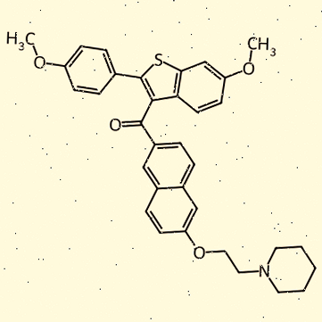 COc1ccc(-c2sc3cc(OC)ccc3c2C(=O)c2ccc3cc(OCCN4CCCCC4)ccc3c2)cc1